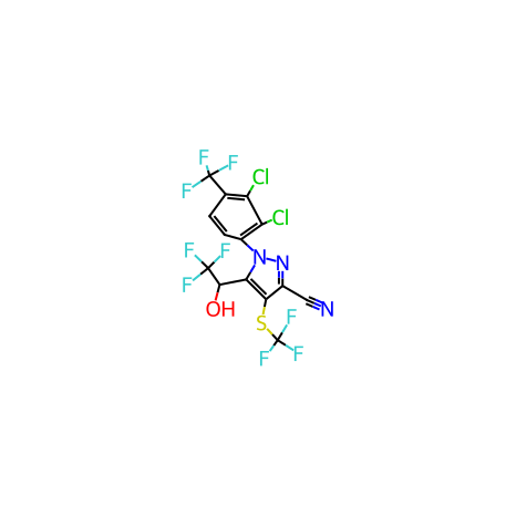 N#Cc1nn(-c2ccc(C(F)(F)F)c(Cl)c2Cl)c(C(O)C(F)(F)F)c1SC(F)(F)F